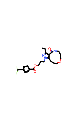 CCc1nn(CCCOC(=O)c2ccc(C(F)F)cc2)c2c1C(=O)NCCCOCCC2